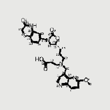 COc1ccc2nccc(CN(CCC[C@@H]3CN(c4ccc5c(c4)NC(=O)CS5)C(=O)O3)CCC(=O)O)c2n1